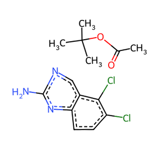 CC(=O)OC(C)(C)C.Nc1ncc2c(Cl)c(Cl)ccc2n1